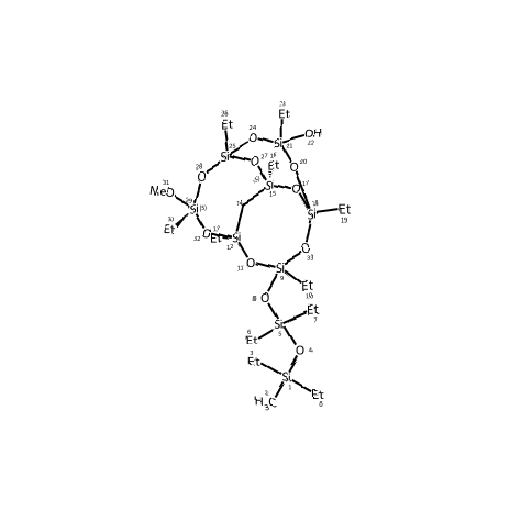 CC[Si](C)(CC)O[Si](CC)(CC)O[Si]1(CC)O[Si]2(CC)C[Si@]3(CC)O[Si](CC)(O[Si](O)(CC)O[Si](CC)(O3)O[Si@@](CC)(OC)O2)O1